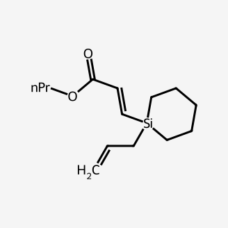 C=CC[Si]1(C=CC(=O)OCCC)CCCCC1